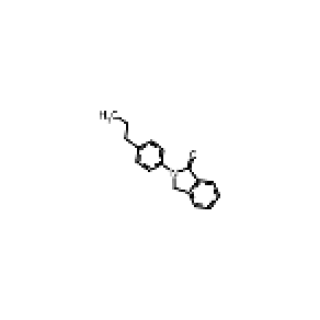 CCCc1ccc(N2Cc3ccccc3C2=O)cc1